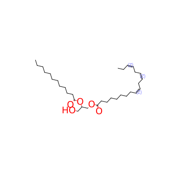 CC/C=C\C/C=C\C/C=C\CCCCCCCC(=O)OCC(CO)OC(=O)CCCCCCCCCCC